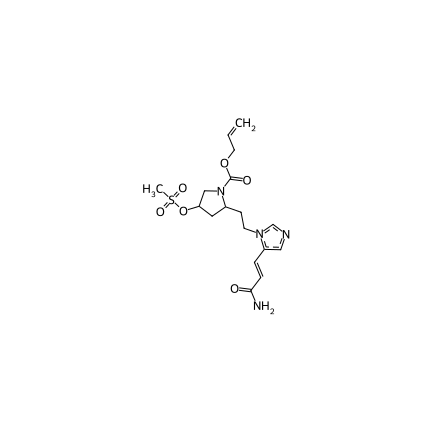 C=CCOC(=O)N1CC(OS(C)(=O)=O)CC1CCn1cncc1C=CC(N)=O